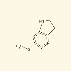 COc1cnc2c(c1)NCC2